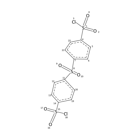 O=S(=O)(Cl)c1ccc(S(=O)(=O)c2ccc(S(=O)(=O)Cl)cc2)cc1